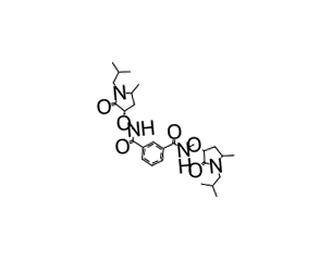 CC(C)CN1C(=O)[C@H](ONC(=O)c2cccc(C(=O)NO[C@@H]3CC(C)N(CC(C)C)C3=O)c2)CC1C